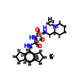 CN1CCCCC1CNS(=O)(=O)NC(=O)Nc1c2c(cc3c1CCC3)CCC2.[K]